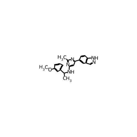 COc1cccc(C(C)Nc2cc(-c3ccc4[nH]ncc4c3)nc(C)n2)c1